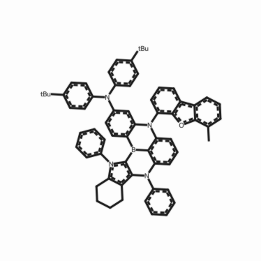 Cc1cccc2c1oc1c(N3c4cc(N(c5ccc(C(C)(C)C)cc5)c5ccc(C(C)(C)C)cc5)ccc4B4c5c(cccc53)N(c3ccccc3)c3c5c(n(-c6ccccc6)c34)CCCC5)cccc12